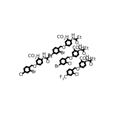 CCC(=O)Nc1ccc(OCc2ccc(Br)cc2Br)cc1C(=O)O.CCC(=O)Nc1ccc(OCc2ccc(Br)cc2Cl)cc1C(=O)O.CCC(=O)Nc1ccc(OCc2ccc(C(F)(F)F)cc2Cl)cc1C(=O)O.CCC(=O)Nc1ccc(OCc2ccc(Cl)cc2Br)cc1C(=O)O